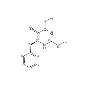 CCOC(=O)[C@H](Cc1ccccc1)NC(=O)CC